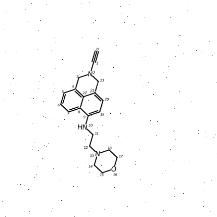 C#CN1Cc2cccc3c(NCCN4CCOCC4)ccc(c23)C1